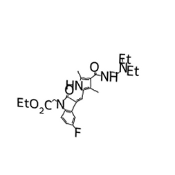 CCOC(=O)CN1C(=O)/C(=C\c2[nH]c(C)c(C(=O)NCCN(CC)CC)c2C)c2cc(F)ccc21